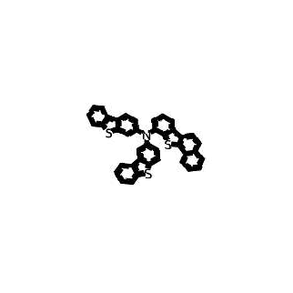 c1ccc2c(c1)ccc1c3cccc(N(c4ccc5c(c4)sc4ccccc45)c4ccc5sc6ccccc6c5c4)c3sc21